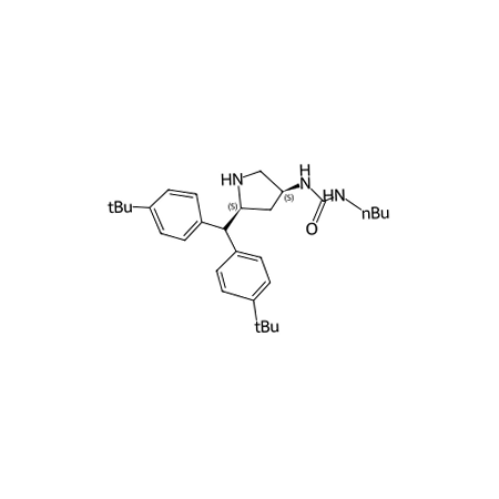 CCCCNC(=O)N[C@@H]1CN[C@H](C(c2ccc(C(C)(C)C)cc2)c2ccc(C(C)(C)C)cc2)C1